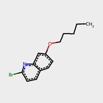 CCCCCOc1ccc2ccc(Br)nc2c1